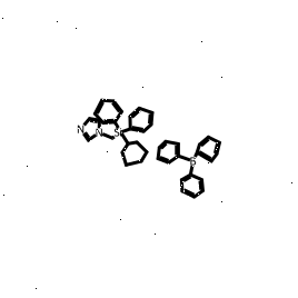 c1ccc(B(c2ccccc2)c2ccccc2)cc1.c1ccc([Si](Cn2ccnc2)(c2ccccc2)C2CCCCC2)cc1